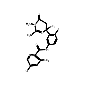 CN1C(=O)CC(C)(c2cc(NC(=O)c3ncc(Cl)cc3N)ccc2F)N=C1N